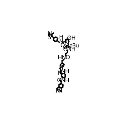 Cc1ncsc1-c1ccc(CNC(=O)[C@@H]2C[C@@H](O)CN2C(=O)[C@@H](NC(=O)CCC(=O)NCCC2CCN(Cc3nc4cc(NC(=O)c5ccc6c(cnn6C)c5)ccc4[nH]3)C2)C(C)(C)C)cc1